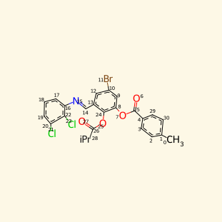 Cc1ccc(C(=O)Oc2cc(Br)cc(C=Nc3cccc(Cl)c3Cl)c2OC(=O)C(C)C)cc1